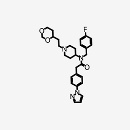 O=C(Cc1ccc(-n2cccn2)cc1)N(Cc1ccc(F)cc1)C1CCN(CCC2CCOCO2)CC1